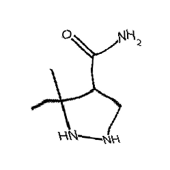 CC1(C)NNCC1C(N)=O